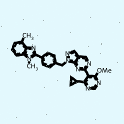 COc1ncnc(C2CC2)c1-c1ncc2cnn(Cc3ccc(-c4nc5c(C)cccc5n4C)cc3)c2n1